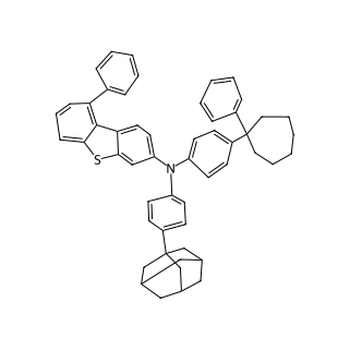 c1ccc(-c2cccc3sc4cc(N(c5ccc(C67CC8CC(CC(C8)C6)C7)cc5)c5ccc(C6(c7ccccc7)CCCCCC6)cc5)ccc4c23)cc1